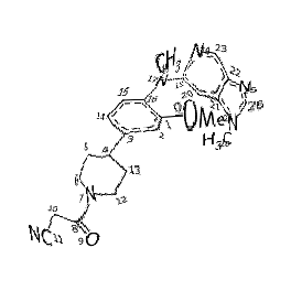 COc1cc(C2CCN(C(=O)CC#N)CC2)ccc1N(C)c1cc2c(cn1)ncn2C